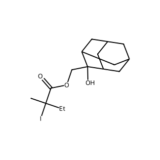 CCC(C)(I)C(=O)OCC1(O)C2CC3CC(C2)CC1C3